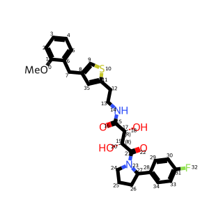 COc1ccccc1Cc1csc(CCNC(=O)[C@H](O)[C@@H](O)C(=O)N2CCCC2c2ccc(F)cc2)c1